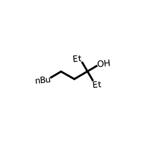 CCCCCCC(O)(CC)CC